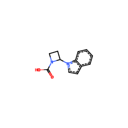 O=C(O)N1CCC1n1ccc2ccccc21